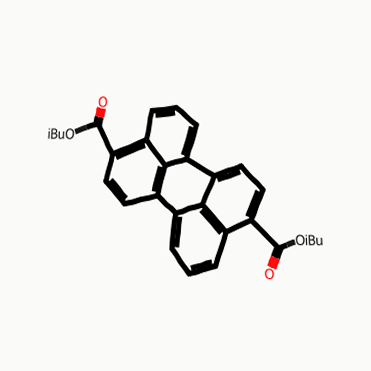 CC(C)COC(=O)c1ccc2c3cccc4c(C(=O)OCC(C)C)ccc(c5cccc1c52)c43